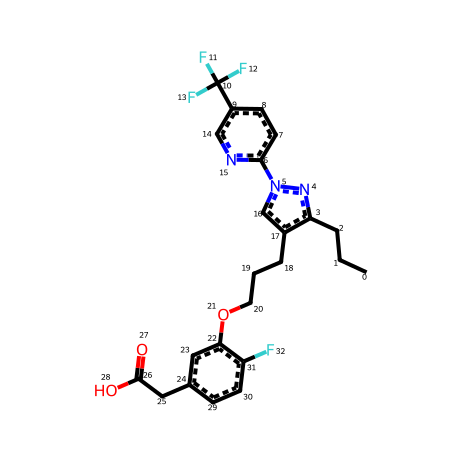 CCCc1nn(-c2ccc(C(F)(F)F)cn2)cc1CCCOc1cc(CC(=O)O)ccc1F